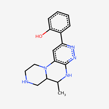 CC1Nc2nnc(-c3ccccc3O)cc2N2CCNCC12